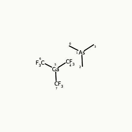 C[As](C)C.F[C](F)(F)[Ga]([C](F)(F)F)[C](F)(F)F